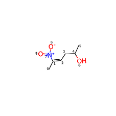 CC(=CCC(C)O)[N+](=O)[O-]